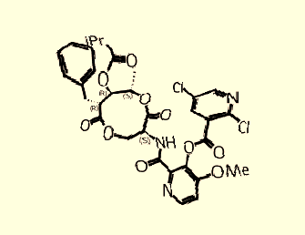 COc1ccnc(C(=O)N[C@H]2COC(=O)[C@H](Cc3ccccc3)[C@@H](OC(=O)C(C)C)[C@H](C)OC2=O)c1OC(=O)c1cc(Cl)cnc1Cl